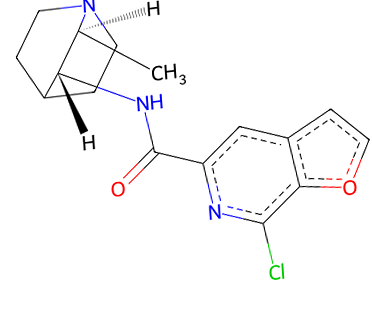 C[C@H]1[C@H](NC(=O)c2cc3ccoc3c(Cl)n2)C2CCN1CC2